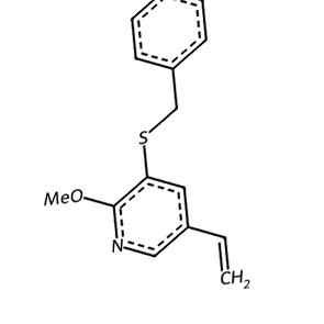 C=Cc1cnc(OC)c(SCc2ccccc2)c1